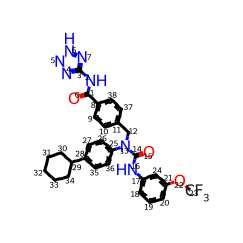 O=C(Nc1nn[nH]n1)c1ccc(CN(C(=O)Nc2cccc(OC(F)(F)F)c2)c2ccc(C3CCCCC3)cc2)cc1